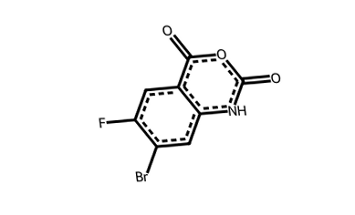 O=c1[nH]c2cc(Br)c(F)cc2c(=O)o1